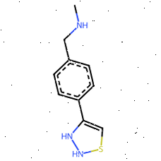 CNCc1ccc(C2=CSNN2)cc1